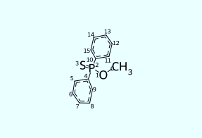 COP(=S)(c1ccccc1)c1ccccc1